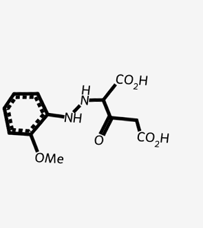 COc1ccccc1NNC(C(=O)O)C(=O)CC(=O)O